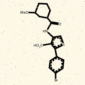 COC1CCCC(C(=O)Nc2csc(-c3ccc(Br)cc3)c2C(=O)O)C1